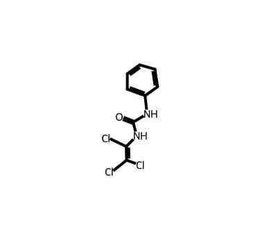 O=C(NC(Cl)=C(Cl)Cl)Nc1ccccc1